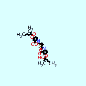 CCCCC(CC)C(=O)Oc1ccc2nc(-c3ccc(-c4nc5ccc(OC(O)C(CC)CCCC)cc5c(=O)o4)s3)oc(=O)c2c1